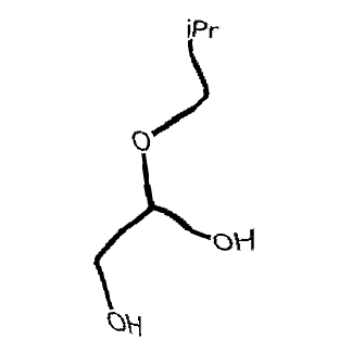 CC(C)COC(O)CO